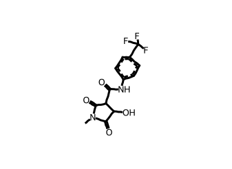 CN1C(=O)C(O)C(C(=O)Nc2ccc(C(F)(F)F)cc2)C1=O